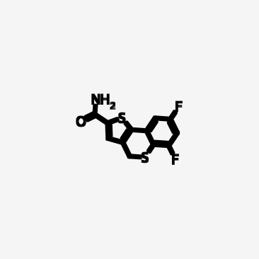 NC(=O)c1cc2c(s1)-c1cc(F)cc(F)c1SC2